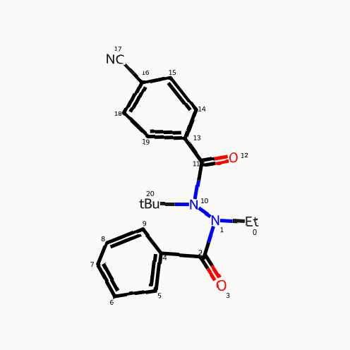 CCN(C(=O)c1ccccc1)N(C(=O)c1ccc(C#N)cc1)C(C)(C)C